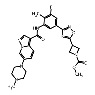 COC(=O)N1CC(c2nc(-c3cc(F)c(C)c(NC(=O)c4cnn5cc(N6CCN(C)CC6)ccc45)c3)no2)C1